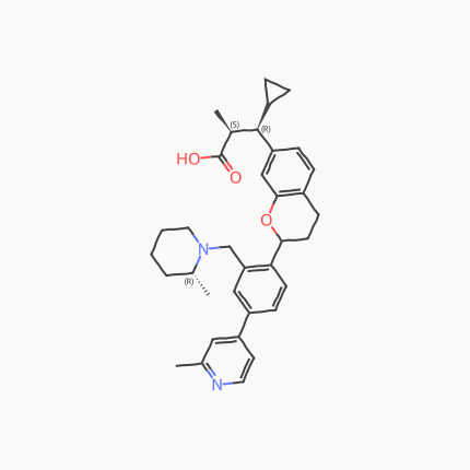 Cc1cc(-c2ccc(C3CCc4ccc([C@H](C5CC5)[C@H](C)C(=O)O)cc4O3)c(CN3CCCC[C@H]3C)c2)ccn1